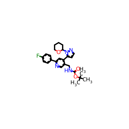 CC(C)(C)OC(=O)NCc1cnc(-c2ccc(F)cc2)cc1-c1ccnn1C1CCCCO1